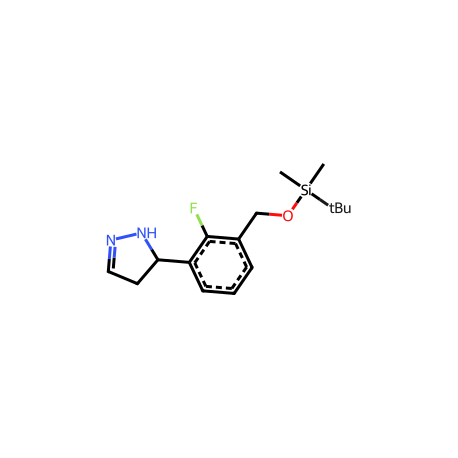 CC(C)(C)[Si](C)(C)OCc1cccc(C2CC=NN2)c1F